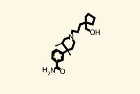 C[C@H]1CN(CCCC2(CO)CCCC2)CC[C@]1(C)c1cccc(C(N)=O)c1